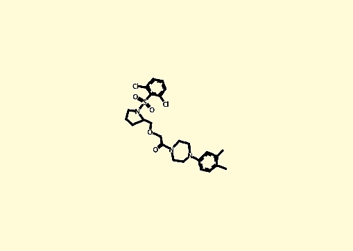 Cc1ccc(N2CCN(C(=O)COCC3CCCN3S(=O)(=O)c3c(Cl)cccc3Cl)CC2)cc1C